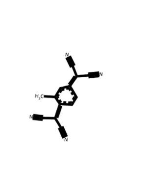 Cc1cc(=C(C#N)C#N)ccc1=C(C#N)C#N